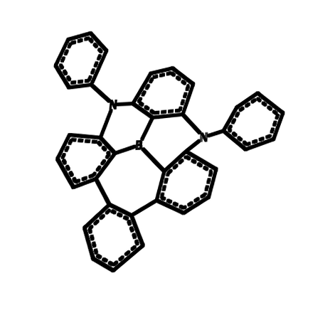 c1ccc(N2c3cccc4c3B3c5c(cccc5N(c5ccccc5)c5cccc2c53)-c2ccccc2-4)cc1